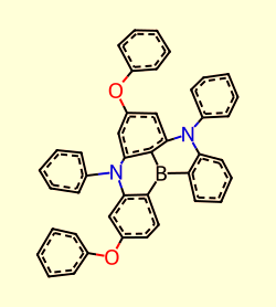 c1ccc(Oc2ccc3c(c2)N(c2ccccc2)c2cc(Oc4ccccc4)cc4c2B3c2ccccc2N4c2ccccc2)cc1